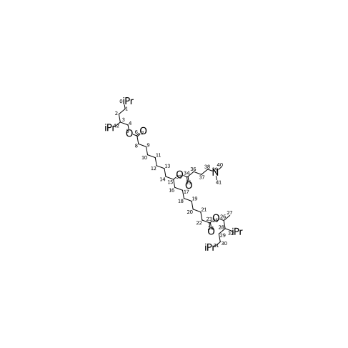 CC(C)CCC(COC(=O)CCCCCCCC(CCCCCCCC(=O)OC(C)C(CCC(C)C)C(C)C)OC(=O)CCCN(C)C)C(C)C